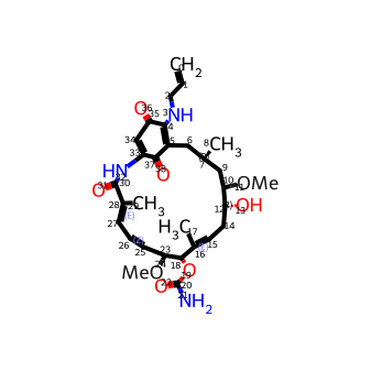 C=CCNC1=C2C[C@@H](C)CC(OC)[C@H](O)C/C=C(\C)C(OC(N)=O)C(OC)/C=C\C=C(/C)C(=O)NC(=CC1=O)C2=O